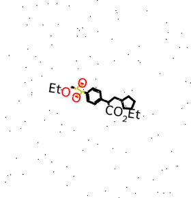 CCOCS(=O)(=O)c1ccc(C(CC2CCCC2)C(=O)OCC)cc1